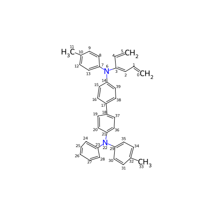 C=C/C=C(\C=C)N(c1ccc(C)cc1)c1ccc(-c2ccc(N(c3ccccc3)c3ccc(C)cc3)cc2)cc1